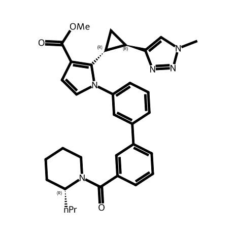 CCC[C@@H]1CCCCN1C(=O)c1cccc(-c2cccc(-n3ccc(C(=O)OC)c3[C@@H]3C[C@H]3c3cn(C)nn3)c2)c1